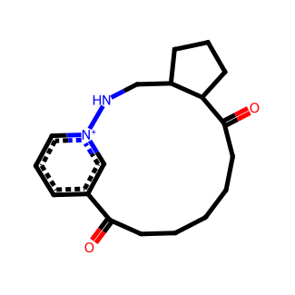 O=C1CCCCCC(=O)C2CCCC2CN[n+]2cccc1c2